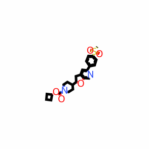 CS(=O)(=O)c1ccc(-c2cc3c(cn2)OC(C2CCN(C(=O)OC4CCC4)CC2)C3)cc1